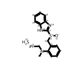 CC(C)CN(C)c1ccccc1C[S+]([O-])c1nc2ccccc2[nH]1.S